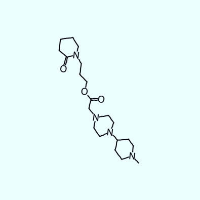 CN1CCC(N2CCN(CC(=O)OCCCN3CCCCC3=O)CC2)CC1